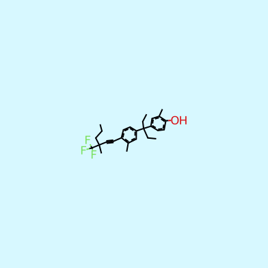 CCCC(C)(C#Cc1ccc(C(CC)(CC)c2ccc(O)c(C)c2)cc1C)C(F)(F)F